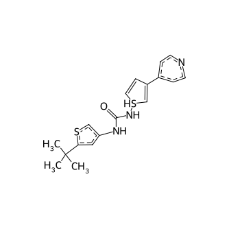 CC(C)(C)c1cc(NC(=O)N[SH]2C=CC(c3ccncc3)=C2)cs1